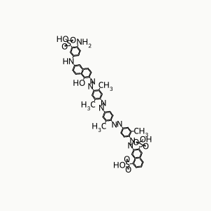 Cc1cc(N=Nc2cc(C)c(N=Nc3ccc4cc(Nc5ccc(N)c(S(=O)(=O)O)c5)ccc4c3O)cc2C)ccc1N=Nc1ccc(N=Nc2cc3c(S(=O)(=O)O)cccc3cc2S(=O)(=O)O)c(C)c1